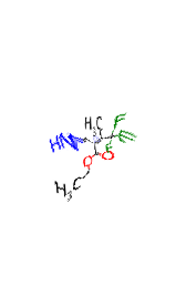 CCOC(=O)/C(C=N)=C(/C)C(F)(F)F